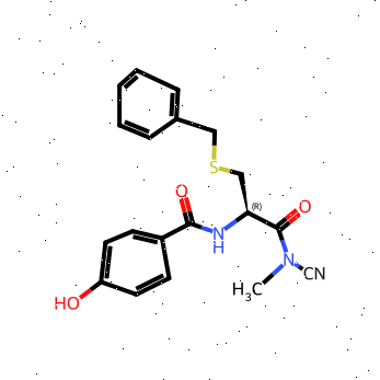 CN(C#N)C(=O)[C@H](CSCc1ccccc1)NC(=O)c1ccc(O)cc1